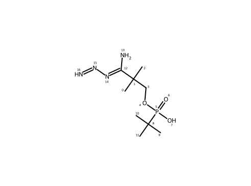 CC(C)(COP(=O)(O)C(C)(C)C)/C(N)=N/N=N